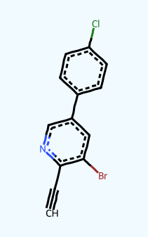 C#Cc1ncc(-c2ccc(Cl)cc2)cc1Br